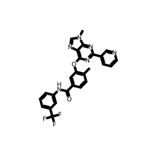 Cc1ccc(C(=O)Nc2cccc(C(F)(F)F)c2)cc1Oc1nc(-c2cccnc2)nc2c1ncn2C